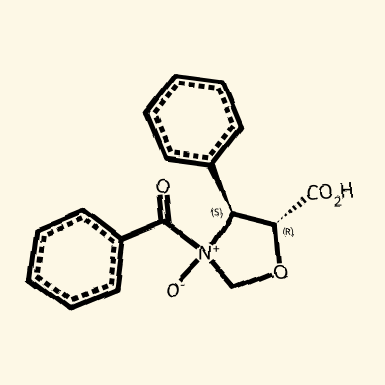 O=C(O)[C@@H]1OC[N+]([O-])(C(=O)c2ccccc2)[C@H]1c1ccccc1